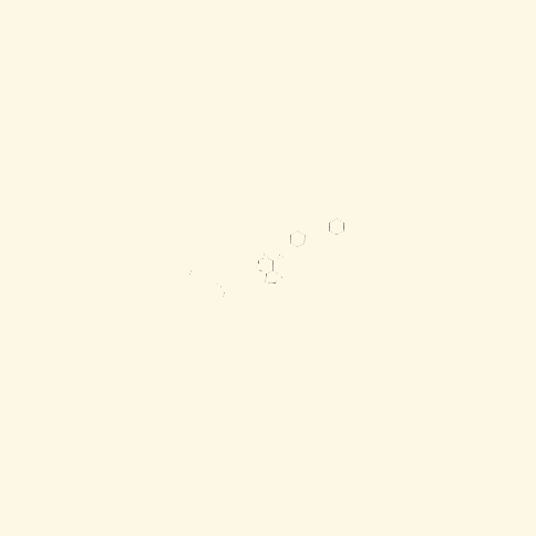 COC(=O)CCCNC(=O)OCC1OC(n2cnc3c(NCc4ccc(OCc5ccc(OC)cc5)cc4)ncnc32)C2OC(C)(C)OC12